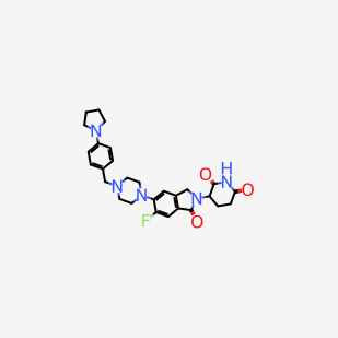 O=C1CCC(N2Cc3cc(N4CCN(Cc5ccc(N6CCCC6)cc5)CC4)c(F)cc3C2=O)C(=O)N1